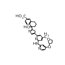 Cc1cc(Nc2cc(OC3CCOC3)ccn2)nc(-c2cnc([C@@]3(O)CCCc4cc(C(=O)O)ccc43)s2)c1